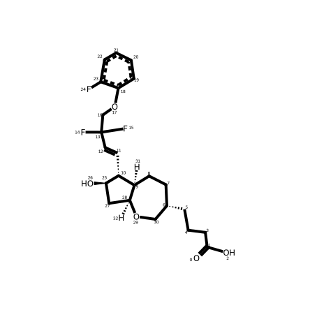 O=C(O)CCC[C@H]1CC[C@@H]2[C@@H](C=CC(F)(F)COc3ccccc3F)[C@H](O)C[C@@H]2OC1